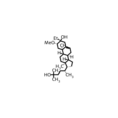 CC[C@@]1(O)CC2=CC[C@H]3[C@@H]4CC[C@H]([C@H](C)CCC(C)(C)O)[C@@]4(C)CC[C@@H]3[C@@]2(C)C[C@@H]1OC